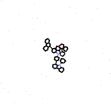 C1=CCC(c2ccccc2-c2ccccc2)(N(c2ccc(-c3cc4ccccc4c4ccccc34)cc2)c2ccc(-c3cccc4c5ccccc5n(-c5ccccc5)c34)cc2)C(c2ccccc2)=C1